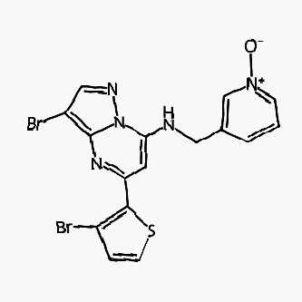 [O-][n+]1cccc(CNc2cc(-c3sccc3Br)nc3c(Br)cnn23)c1